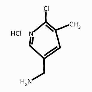 Cc1cc(CN)cnc1Cl.Cl